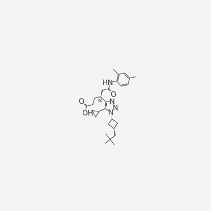 Cc1ccc(NC(=O)C[C@H](CCC(=O)O)c2nnn([C@H]3C[C@H](CC(C)(C)C)C3)c2C2CC2)c(C)c1